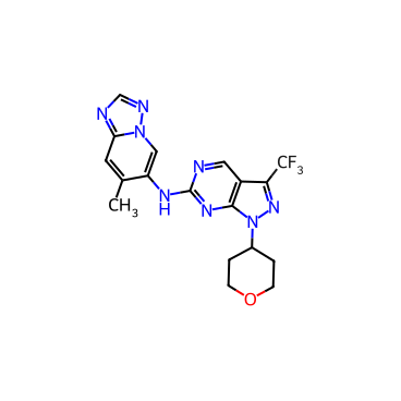 Cc1cc2ncnn2cc1Nc1ncc2c(C(F)(F)F)nn(C3CCOCC3)c2n1